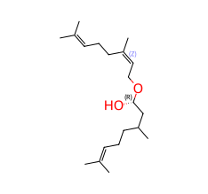 CC(C)=CCC/C(C)=C\CO[C@@H](O)CC(C)CCC=C(C)C